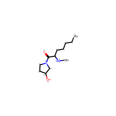 CC(C)(C)CCCCC(NC(C)(C)C)C(=O)N1CCC(O)C1